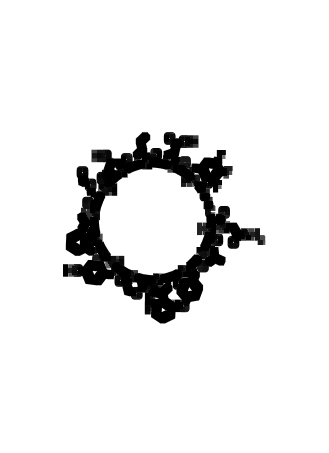 CCCC[C@H]1C(=O)N2C[C@H](O)C[C@@H]2C(=O)N[C@@H](COC=O)C(=O)N[C@@H](C(C)C)C(=O)N(C)[C@@H](Cc2ccccc2)C(=O)N[C@@H](Cc2ccc(O)cc2)C(=O)N2CCOC[C@@H]2C(=O)N[C@@H](Cc2c[nH]c3ccccc23)C(=O)N[C@@H](Cc2ccc(O)cc2)C(=O)N[C@@H](CC(C)C)C(=O)N[C@H](C(=O)NCC(N)=O)CSCC(=O)N[C@@H](Cc2cc(F)c(F)c(F)c2)C(=O)N(C)[C@@H](CCC(=O)O)C(=O)N1C